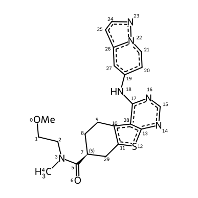 COCCN(C)C(=O)[C@H]1CCc2c(sc3ncnc(Nc4ccn5nccc5c4)c23)C1